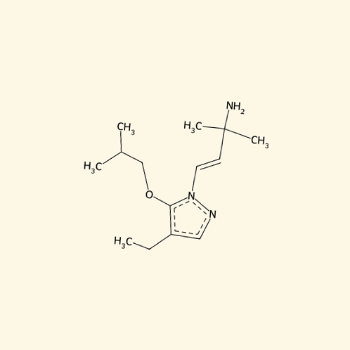 CCc1cnn(/C=C/C(C)(C)N)c1OCC(C)C